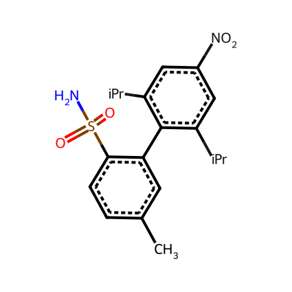 Cc1ccc(S(N)(=O)=O)c(-c2c(C(C)C)cc([N+](=O)[O-])cc2C(C)C)c1